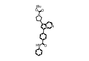 CC(C)(C)OC(=O)N1CCC(c2cc(-c3ccc(C(=O)Nc4ccccc4)cc3)n3cnccc23)C1